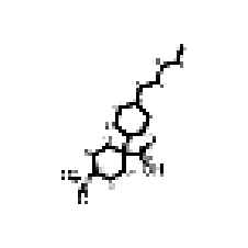 CCCCCC1CCC(C2(C(=O)O)CCC([N+](=O)[O-])CC2)CC1